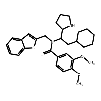 COc1ccc(C(=O)N(Cc2cc3ccccc3o2)C(CC2CCCCC2)C2CCCN2)cc1OC